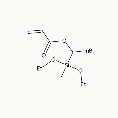 C=CC(=O)OC(CCCC)[Si](C)(OCC)OCC